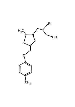 Cc1ccc(OCC2CC(C)N(CC(CO)C(C)C)C2)cc1